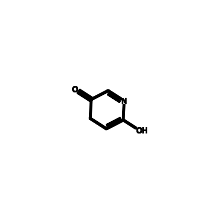 O=C1C=NC(O)=CC1